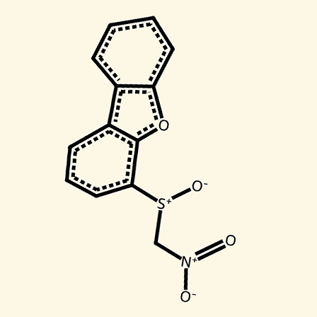 O=[N+]([O-])C[S+]([O-])c1cccc2c1oc1ccccc12